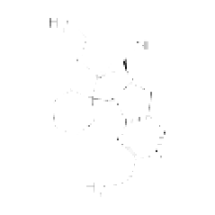 CCOC(=O)C1(N2c3nc(SC)ncc3C[C@@H]2CN)CCCCC1